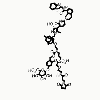 Cc1c(-c2ccc(N3CCc4cccc(C(=O)Nc5nc6ccccc6s5)c4C3)nc2C(=O)O)cnn1CC12CC3(C)CC(C)(C1)CC(OCCN(CCCS(=O)(=O)O)C(=O)OCc1ccc(O[C@@H]4O[C@H](C(=O)O)[C@@H](O)[C@H](O)[C@H]4O)cc1OCCOCCNC(=O)CCN1C(=O)C=CC1=O)(C3)C2